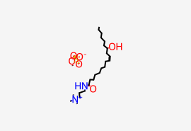 CCCCCC[C@@H](O)C/C=C\CCCCCCCC(=O)NCCC[N+](C)(C)C.COS(=O)(=O)[O-]